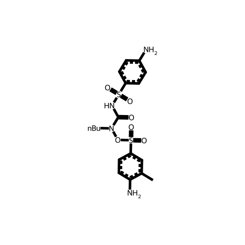 CCCCN(OS(=O)(=O)c1ccc(N)c(C)c1)C(=O)NS(=O)(=O)c1ccc(N)cc1